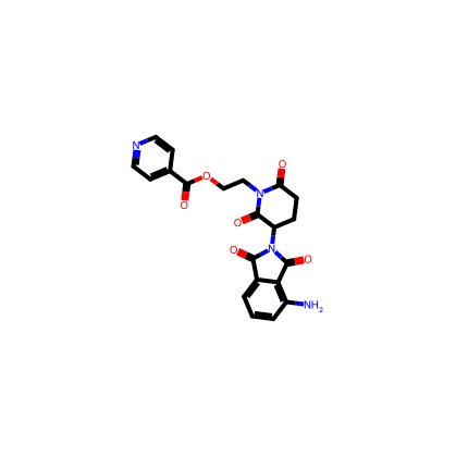 Nc1cccc2c1C(=O)N(C1CCC(=O)N(CCOC(=O)c3ccncc3)C1=O)C2=O